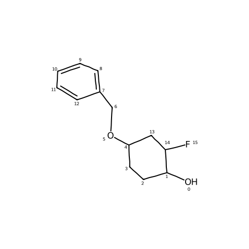 OC1CCC(OCc2ccccc2)CC1F